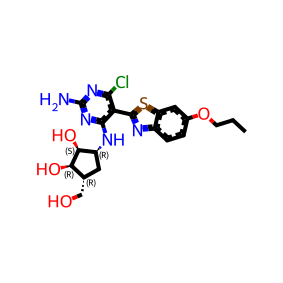 CCCOc1ccc2nc(-c3c(Cl)nc(N)nc3N[C@@H]3C[C@H](CO)[C@@H](O)[C@H]3O)sc2c1